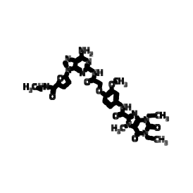 CCNC(=O)C1CCC(n2cnc3c(N)nc(NC(=O)COc4ccc(NC(=O)c5nc6c(c(=O)n(CC)c(=O)n6CC)n5C)cc4OC)nc32)O1